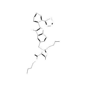 CCCCOC(=O)c1c(Cl)nc(CCCC)n1Cc1ccc2oc(-c3ccccc3-c3nnn[nH]3)c(Br)c2c1